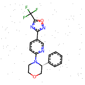 FC(F)(F)c1nc(-c2ccc(N3CCOC[C@H]3c3ccccc3)nc2)no1